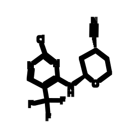 N#C[C@@H]1CCO[C@@H](Nc2nc(Cl)ncc2C(F)(F)F)C1